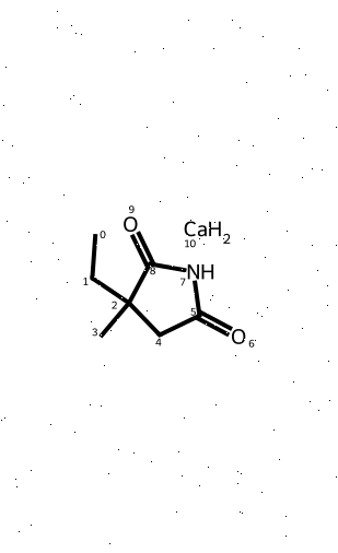 CCC1(C)CC(=O)NC1=O.[CaH2]